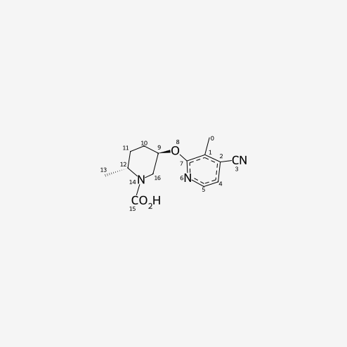 Cc1c(C#N)ccnc1O[C@@H]1CC[C@@H](C)N(C(=O)O)C1